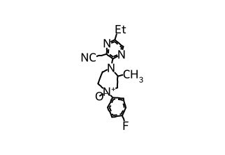 CCc1cnc(N2CC[N+]([O-])(c3ccc(F)cc3)CC2C)c(C#N)n1